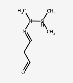 CN(N=CCC=O)[SiH](C)C